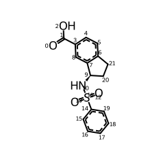 O=C(O)c1ccc2c(c1)[C@H](NS(=O)(=O)c1ccccc1)CC2